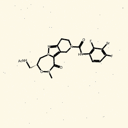 CC(=O)NC[C@@H]1Cn2nc3c(c2C(=O)N(C)O1)CN(C(=O)Nc1ccc(F)c(Br)c1F)CC3